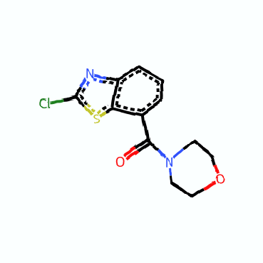 O=C(c1cccc2nc(Cl)sc12)N1CCOCC1